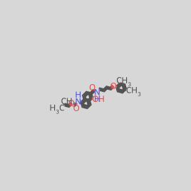 Cc1ccc(OCCCCNC(=O)c2ccc3c(NC(=O)OCC(C)C)cccc3c2O)c(C)c1